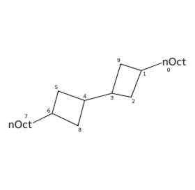 CCCCCCCCC1CC(C2CC(CCCCCCCC)C2)C1